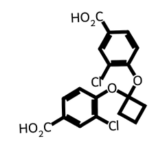 O=C(O)c1ccc(OC2(Oc3ccc(C(=O)O)cc3Cl)CCC2)c(Cl)c1